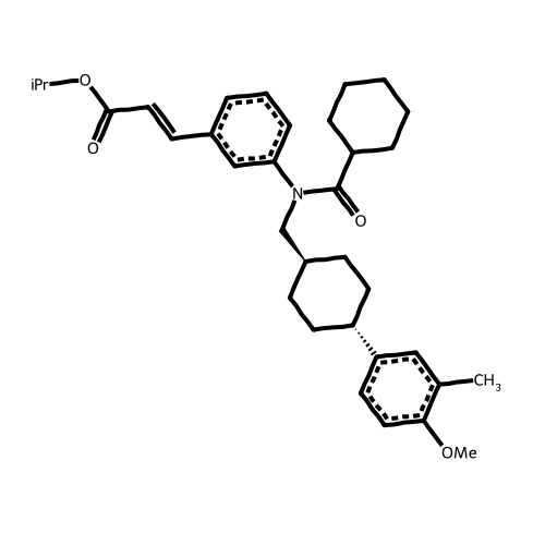 COc1ccc([C@H]2CC[C@H](CN(C(=O)C3CCCCC3)c3cccc(/C=C/C(=O)OC(C)C)c3)CC2)cc1C